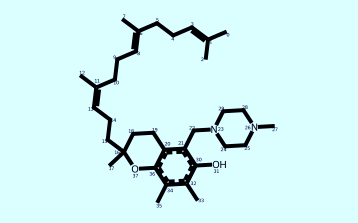 CC(C)=CCC/C(C)=C/CC/C(C)=C\CCC1(C)CCc2c(CN3CCN(C)CC3)c(O)c(C)c(C)c2O1